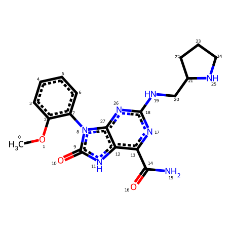 COc1ccccc1-n1c(=O)[nH]c2c(C(N)=O)nc(NCC3CCCN3)nc21